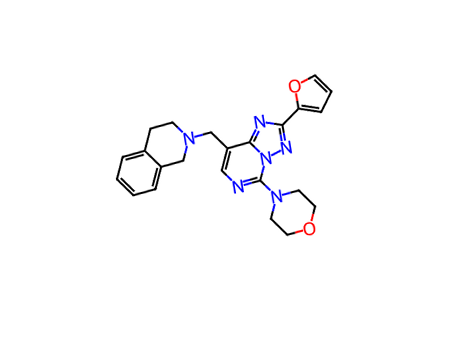 c1coc(-c2nc3c(CN4CCc5ccccc5C4)cnc(N4CCOCC4)n3n2)c1